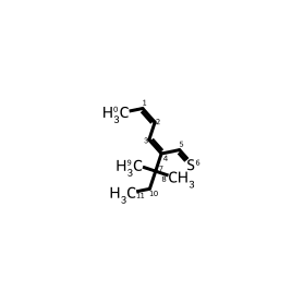 C/C=C\C=C(/C=S)C(C)(C)CC